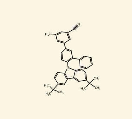 Cc1cc(C#N)cc(-c2ccc(-n3c4ccc(C(C)(C)C)cc4c4cc(C(C)(C)C)ccc43)c(-c3ccccc3)c2)c1